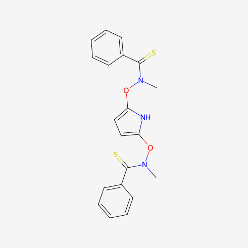 CN(Oc1ccc(ON(C)C(=S)c2ccccc2)[nH]1)C(=S)c1ccccc1